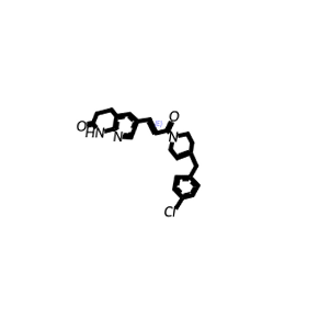 O=C1CCc2cc(/C=C/C(=O)N3CC=C(Cc4ccc(Cl)cc4)CC3)cnc2N1